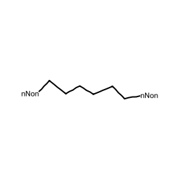 [CH2]CCCCCCCCCCCCCCCCCCCCCC[CH2]